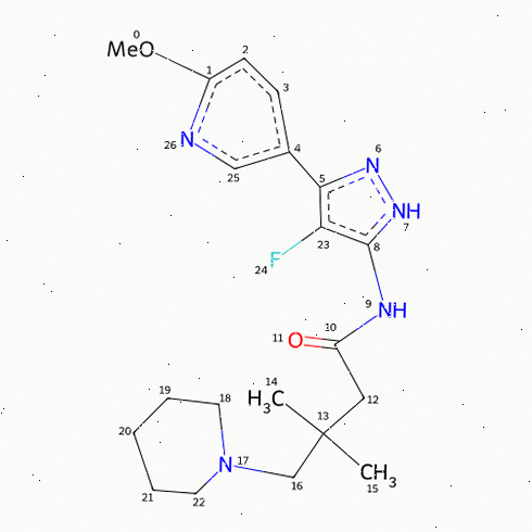 COc1ccc(-c2n[nH]c(NC(=O)CC(C)(C)CN3CCCCC3)c2F)cn1